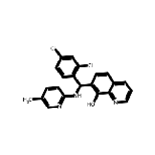 Cc1ccc(NC(c2ccc(Cl)cc2Cl)c2ccc3cccnc3c2O)nc1